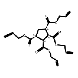 C=CCOC(=O)[C@@H]1[C@H](C(=O)OCC=C)[C@H](C(=O)OCC=C)C[C@@H]1C(=O)OCC=C